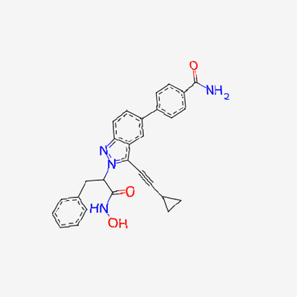 NC(=O)c1ccc(-c2ccc3nn(C(Cc4ccccc4)C(=O)NO)c(C#CC4CC4)c3c2)cc1